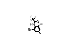 CSc1cc(C)cc(Br)c1NC(=O)C(F)(F)F